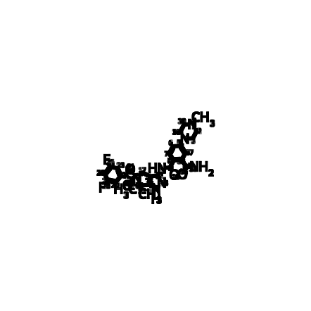 CN1CCN(c2ccc(C(=O)Nc3n[nH]c4c3CN(S(=O)(=O)c3cc(F)cc(F)c3)C4(C)C)c(C(N)=O)c2)CC1